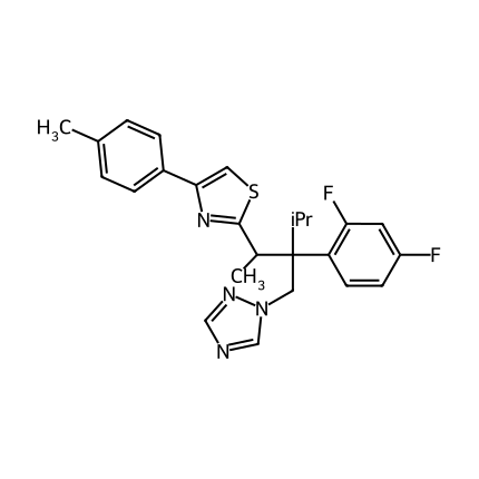 Cc1ccc(-c2csc(C(C)C(Cn3cncn3)(c3ccc(F)cc3F)C(C)C)n2)cc1